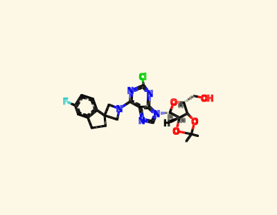 CC1(C)OC2[C@@H](CO)O[C@@H](n3cnc4c(N5CC6(CCc7cc(F)ccc76)C5)nc(Cl)nc43)[C@H]2O1